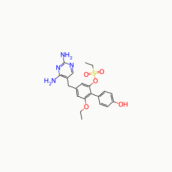 CCOc1cc(Cc2cnc(N)nc2N)cc(OS(=O)(=O)CC)c1-c1ccc(O)cc1